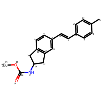 Cc1ccc(C=Cc2ccc3c(c2)CC(NC(=O)OC(C)(C)C)C3)cc1